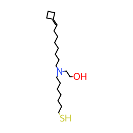 OCCN(CCCCCCCS)CCCCCCCC=C1CCC1